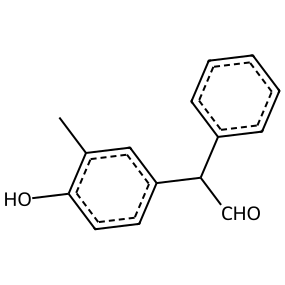 Cc1cc(C(C=O)c2ccccc2)ccc1O